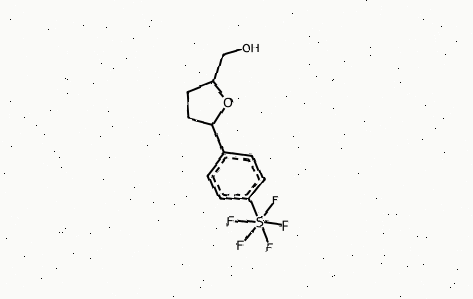 OCC1CCC(c2ccc(S(F)(F)(F)(F)F)cc2)O1